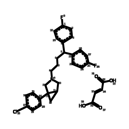 Fc1ccc(C(CCCN2CC3CC3(c3ccc(Cl)cc3)C2)c2ccc(F)cc2)cc1.O=C(O)/C=C/C(=O)O